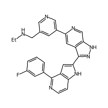 CCNCc1cncc(-c2cc3c(-c4cc5c(-c6cccc(F)c6)nccc5[nH]4)n[nH]c3cn2)c1